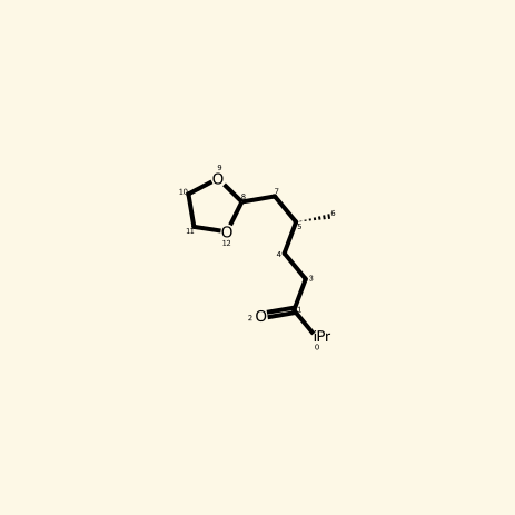 CC(C)C(=O)CC[C@@H](C)CC1OCCO1